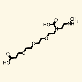 CNCCN(CCOCCOCCOCCC(=O)O)C(=O)O